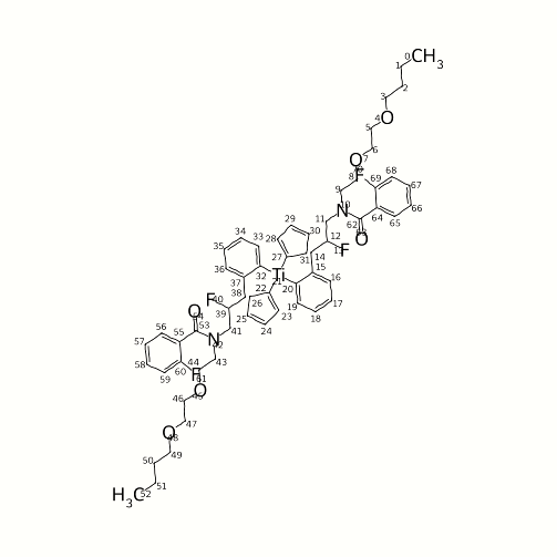 CCCCOCCOCCN(CC(F)Cc1cccc[c]1[Ti]([C]1=CC=CC1)([C]1=CC=CC1)[c]1ccccc1CC(F)CN(CCOCCOCCCC)C(=O)c1ccccc1F)C(=O)c1ccccc1F